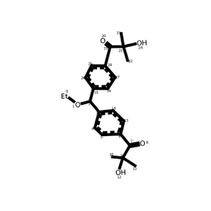 CCOC(c1ccc(C(=O)C(C)(C)O)cc1)c1ccc(C(=O)C(C)(C)O)cc1